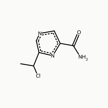 CC(Cl)c1cncc(C(N)=O)n1